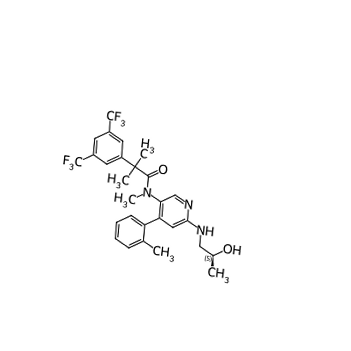 Cc1ccccc1-c1cc(NC[C@H](C)O)ncc1N(C)C(=O)C(C)(C)c1cc(C(F)(F)F)cc(C(F)(F)F)c1